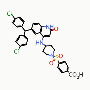 O=C(O)c1ccc(S(=O)(=O)N2CCC(Nc3cc(=O)[nH]c4ccc(C(c5ccc(Cl)cc5)c5ccc(Cl)cc5)cc34)CC2)cc1